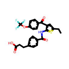 CCc1cc(C(=O)c2ccc(OC(F)(F)F)cc2)c(NC(=O)c2ccc(CCC(=O)O)cc2)s1